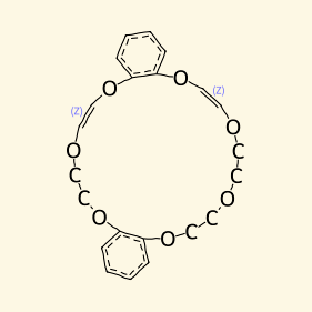 C1=C\Oc2ccccc2O/C=C\OCCOc2ccccc2OCCOCCO/1